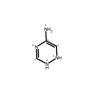 NC1=CNNC=N1